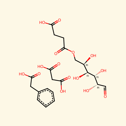 O=C(O)CC(=O)O.O=C(O)Cc1ccccc1.O=C[C@H](O)[C@@H](O)[C@@H](O)[C@H](O)COC(=O)CCC(=O)O